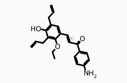 C=CCc1cc(/C=C/C(=O)c2ccc(N)cc2)c(OCC)c(CC=C)c1O